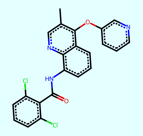 Cc1cnc2c(NC(=O)c3c(Cl)cccc3Cl)cccc2c1Oc1cccnc1